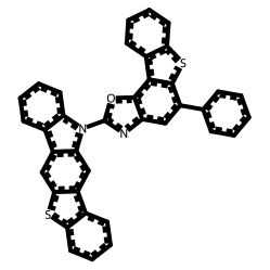 c1ccc(-c2cc3nc(-n4c5ccccc5c5cc6sc7ccccc7c6cc54)oc3c3c2sc2ccccc23)cc1